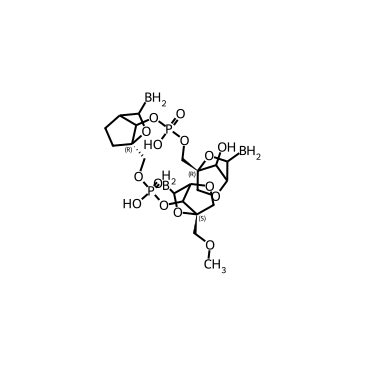 BC1O[C@@]2(COP(=O)(O)OC3C4OC[C@]3(COC)OC4B)CCC1C2OP(=O)(O)OC[C@@]12COC(C(B)O1)C2O